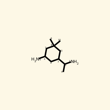 CC(N)C1CC(N)CC(C)(C)C1